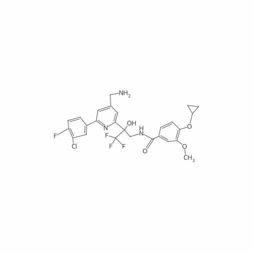 COc1cc(C(=O)NCC(O)(c2cc(CN)cc(-c3ccc(F)c(Cl)c3)n2)C(F)(F)F)ccc1OC1CC1